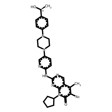 CC(=O)c1c(C)c2cnc(Nc3ccc(N4CCN(c5ccc([C@H](C)O)cc5)CC4)cn3)nc2n(C2CCCC2)c1=O